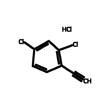 C#Cc1ccc(Cl)cc1Cl.Cl